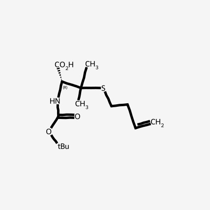 C=CCCSC(C)(C)[C@H](NC(=O)OC(C)(C)C)C(=O)O